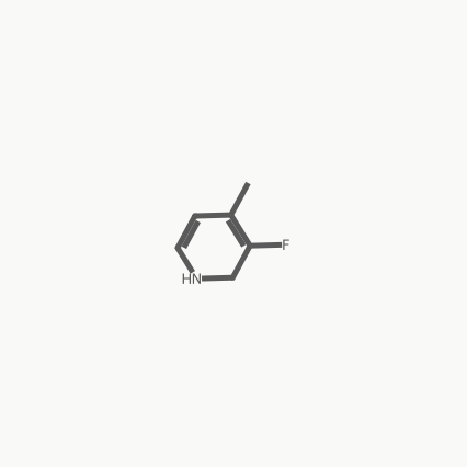 CC1=C(F)CNC=C1